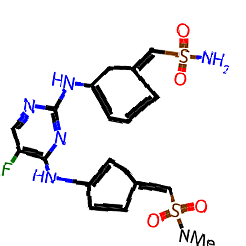 CNS(=O)(=O)C=C1C=CC(Nc2nc(NC3=CC=CC(=CS(N)(=O)=O)C3)ncc2F)=CC1